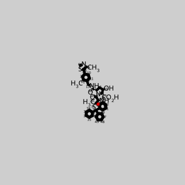 Cc1cc(-c2scnc2C)ccc1CNC(=O)[C@H]1C[C@@H](O)CN1C(=O)[C@@H](NC(=O)O)C(C)(C)SC(c1ccccc1)(c1ccccc1)c1ccccc1